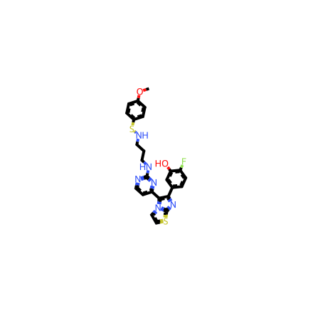 COc1ccc(SNCCCNc2nccc(-c3c(-c4ccc(F)c(O)c4)nc4sccn34)n2)cc1